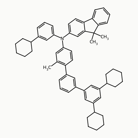 Cc1cc(N(c2cccc(C3CCCCC3)c2)c2ccc3c(c2)C(C)(C)c2ccccc2-3)ccc1-c1cccc(-c2cc(C3CCCCC3)cc(C3CCCCC3)c2)c1